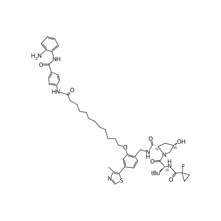 Cc1ncsc1-c1ccc(CNC(=O)[C@@H]2C[C@@H](O)CN2C(=O)[C@@H](NC(=O)C2(F)CC2)C(C)(C)C)c(OCCCCCCCCCCCC(=O)Nc2ccc(C(=O)Nc3ccccc3N)cc2)c1